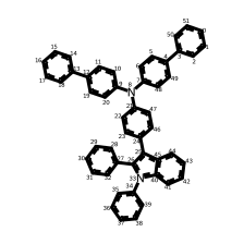 c1ccc(-c2ccc(N(c3ccc(-c4ccccc4)cc3)c3ccc(-c4c(-c5ccccc5)n(-c5ccccc5)c5ccccc45)cc3)cc2)cc1